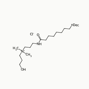 CCCCCCCCCCCCCCCCCC(=O)NCCC[N+](C)(C)CCCO.[Cl-]